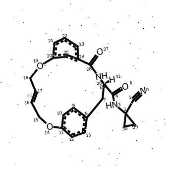 N#CC1(NC(=O)[C@@H]2Cc3ccc(cc3)OC/C=C/COc3cccc(c3)C(=O)N2)CC1